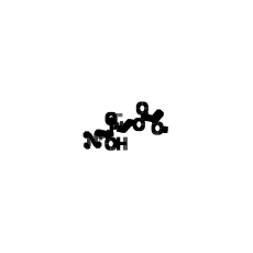 C=C(OC)C(=O)OCC/[P+]([O-])=C(\O)C[N+](C)(C)C